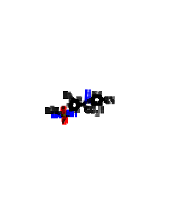 CCCCNS(=O)(=O)Nc1cc(CC)cc(C(Nc2ccc(C#N)cc2)C(=O)O)c1